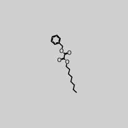 CCCCCCCCOC(=O)C(=O)OCc1ccccc1